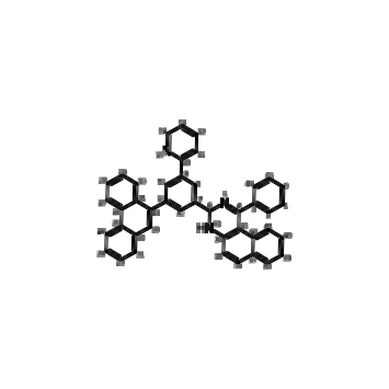 c1ccc(C2=NC(c3cc(-c4ccccn4)cc(-c4cc5ccccc5c5ccccc45)c3)Nc3ccc4ccccc4c32)cc1